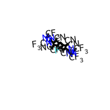 N#CC(C#N)=C1C(c2nc(C(F)(F)F)nc(C(F)(F)F)n2)=C(C#N)c2c1cc1c(c2F)C(=C(C#N)C#N)C(c2nc(C(F)(F)F)nc(C(F)(F)F)n2)=C1C#N